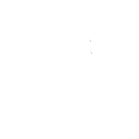 CC(/C=C/[C@@H]1C[C@]2(CO2)CC(C)(C)O1)=C\C[C@H]1CC[C@@H](NC(=O)/C=C\C2(OC(=O)N3CCN(C)CC3)CC2)CC1